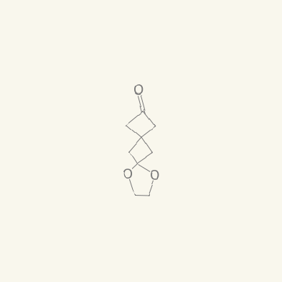 O=C1CC2(C1)CC1(C2)OCCO1